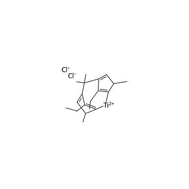 CCC1=[C]2[Ti+2][C]3=C(CC)C(=CC3C)C(C)(C)C1=CC2C.[Cl-].[Cl-]